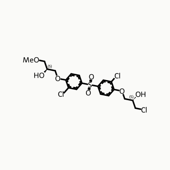 COC[C@H](O)COc1ccc(S(=O)(=O)c2ccc(OC[C@H](O)CCl)c(Cl)c2)cc1Cl